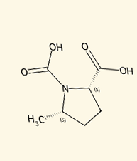 C[C@H]1CC[C@@H](C(=O)O)N1C(=O)O